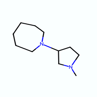 CN1CCC(N2CCCCCC2)C1